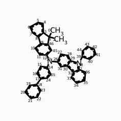 CC1(C)c2ccccc2-c2ccc(N(c3ccc(-c4ccccc4)cc3)c3ccc4c(c3)c3ccccc3n4-c3ccccc3)cc21